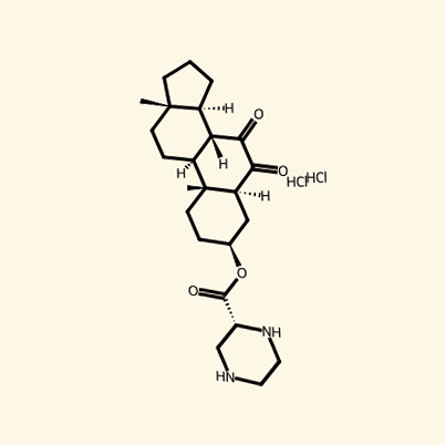 C[C@@]12CCC[C@H]1[C@@H]1C(=O)C(=O)[C@H]3C[C@@H](OC(=O)[C@H]4CNCCN4)CC[C@]3(C)[C@H]1CC2.Cl.Cl